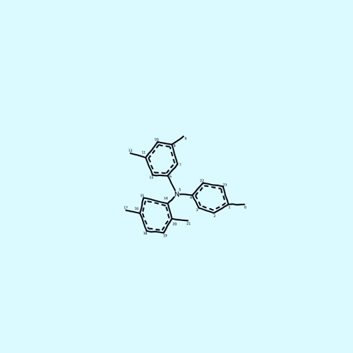 Cc1ccc(N(c2cc(C)cc(C)c2)c2cc(C)ccc2C)cc1